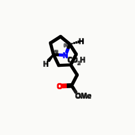 COC(=O)CC1C[C@@H]2CC[C@@H](C1)N2C(=O)O